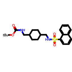 CC(C)(C)OC(=O)NCC1CCC(CNS(=O)(=O)c2cccc3ccccc23)CC1